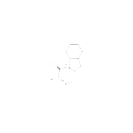 C[C@H](N)C(=O)N1CCC2CCCCC21